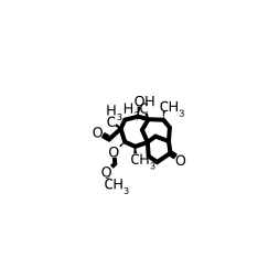 COCO[C@H]1[C@H](C)C23CCC(=O)C(C[C@@H](C)[C@](C)(C2)[C@H](O)C[C@@]1(C)C=O)C3